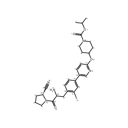 CC(C)OC(=O)N1CCC(Oc2ccc(-c3ccc(CC(N)C(=O)N4CCC[C@H]4C#N)c(F)c3)cn2)CC1